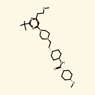 COCCc1cc(N2CCN(CC[C@H]3CC[C@H](NC(=O)[C@H]4CC[C@@H](OC)CC4)CC3)CC2)nc(C(C)(C)C)n1